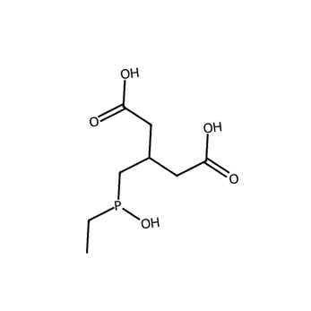 CCP(O)CC(CC(=O)O)CC(=O)O